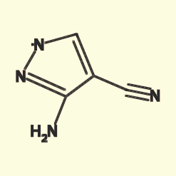 N#CC1=C[N]N=C1N